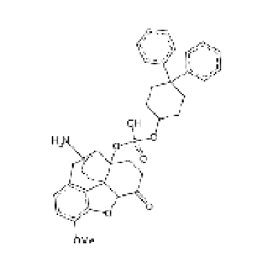 COc1ccc2c3c1OC1C(=O)CCC4(OP(=O)(O)OC5CCC(c6ccccc6)(c6ccccc6)CC5)C(C2)C(N)CCC314